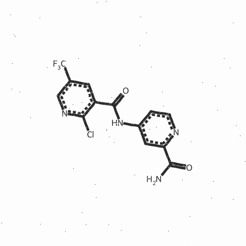 NC(=O)c1cc(NC(=O)c2cc(C(F)(F)F)cnc2Cl)ccn1